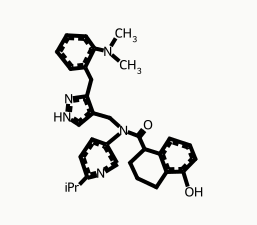 CC(C)c1ccc(N(Cc2c[nH]nc2Cc2ccccc2N(C)C)C(=O)C2CCCc3c(O)cccc32)cn1